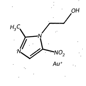 Cc1ncc([N+](=O)[O-])n1CCO.[Au+]